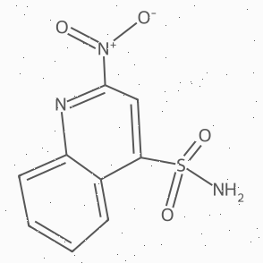 NS(=O)(=O)c1cc([N+](=O)[O-])nc2ccccc12